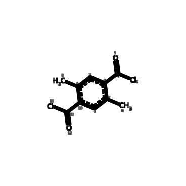 Cc1cc(C(=O)Cl)c(C)cc1C(=O)Cl